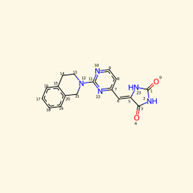 O=C1NC(=O)/C(=C/c2ccnc(N3CCc4ccccc4C3)n2)N1